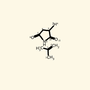 C=C(C)C.[2H]C1CC(=O)NC1=O